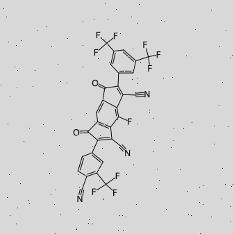 N#Cc1ccc(-c2c(C#N)c3c(F)c4c(C#N)c(-c5cc(C(F)(F)F)cc(C(F)(F)F)c5)c(=O)c4cc3c2=O)cc1C(F)(F)F